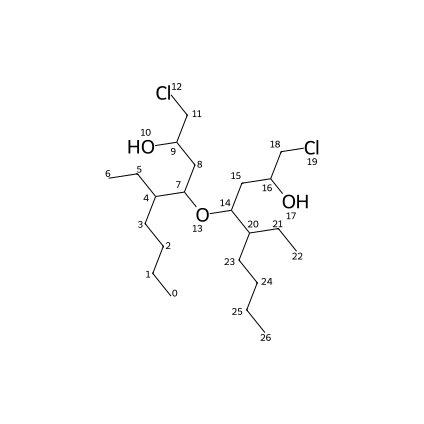 CCCCC(CC)C(CC(O)CCl)OC(CC(O)CCl)C(CC)CCCC